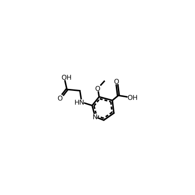 COc1c(C(=O)O)ccnc1NCC(=O)O